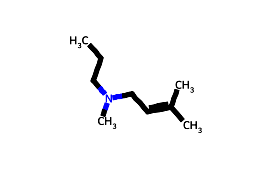 CCCN(C)CC=C(C)C